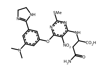 CSc1nc(NC(CC(N)=O)C(=O)O)c([N+](=O)[O-])c(Oc2cc(C3=NCCN3)cc(N(C)C)c2)n1